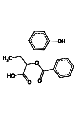 CCC(OC(=O)c1ccccc1)C(=O)O.Oc1ccccc1